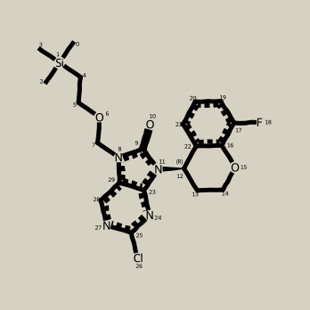 C[Si](C)(C)CCOCn1c(=O)n([C@@H]2CCOc3c(F)cccc32)c2nc(Cl)ncc21